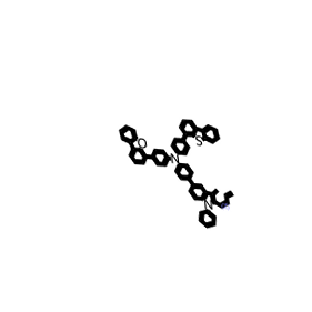 C=C/C=C\c1c(C)c2cc(-c3ccc(N(c4ccc(-c5cccc6c5oc5ccccc56)cc4)c4ccc(-c5cccc6c5sc5ccccc56)cc4)cc3)ccc2n1-c1ccccc1